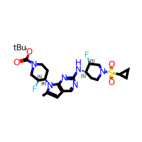 Cc1cc2cnc(N[C@H]3CCN(S(=O)(=O)C4CC4)C[C@@H]3F)nc2n1[C@@H]1CCN(C(=O)OC(C)(C)C)C[C@@H]1F